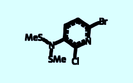 CSN(SC)c1ccc(Br)nc1Cl